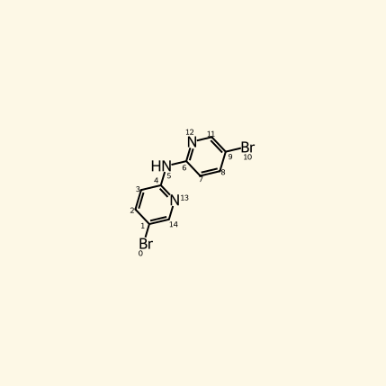 Brc1ccc(Nc2ccc(Br)cn2)nc1